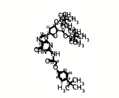 CC(C)(C)c1ccc(OCC(=O)Nc2nc3c(ncn3[C@H]3C[C@H](O[Si](C)(C)C(C)(C)C)[C@@H](CO[Si](C)(C)C(C)(C)C)O3)c(=O)[nH]2)cc1